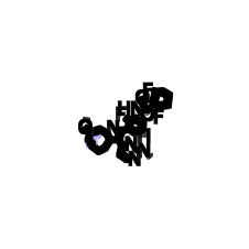 CNc1nccc(C2=C(c3cccc(NS(=O)(=O)c4c(F)cccc4F)c3F)N=C3/C=C(OC)\C=C/CCC32)n1